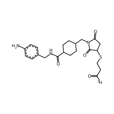 [2H]C(=O)CCSC1CC(=O)N(CC2CCC(C(=O)NCc3ccc(N)cc3)CC2)C1=O